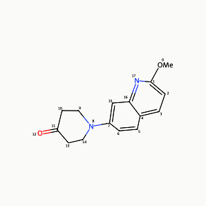 COc1ccc2ccc(N3CCC(=O)CC3)cc2n1